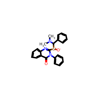 CN(C)C(c1ccccc1)[S+]([O-])c1nc2ccccc2c(=O)n1-c1ccccc1